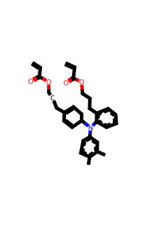 C=CC(=O)OCCCC1=CCC(N(c2ccc(C)c(C)c2)c2ccccc2CCCOC(=O)C=C)C=C1